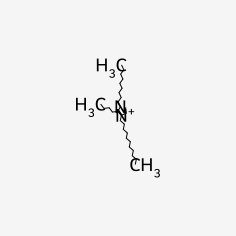 CCCCCCCCCCC[n+]1ccn(CCCCCCCCC)c1CCCC